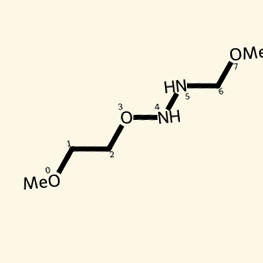 COCCONNCOC